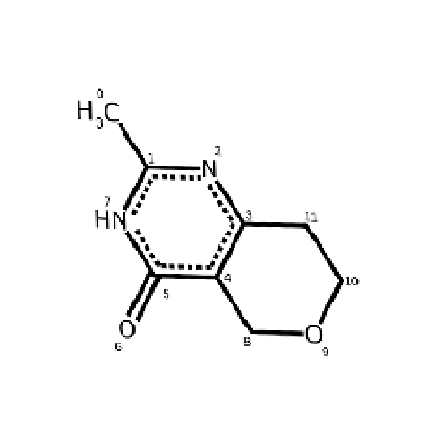 Cc1nc2c(c(=O)[nH]1)COCC2